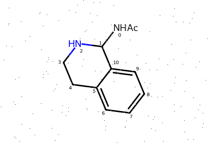 CC(=O)NC1NCCc2ccccc21